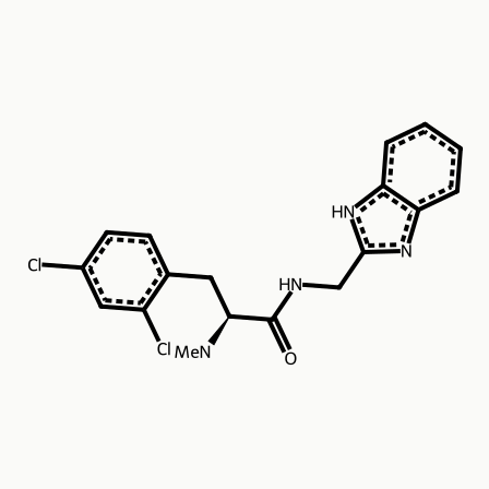 CN[C@@H](Cc1ccc(Cl)cc1Cl)C(=O)NCc1nc2ccccc2[nH]1